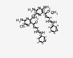 Nc1nc(N)c(C(=O)N=CNNc2cccnc2)nc1Cl.Nc1nc(N)c(C(=O)N=CNNc2cccnc2)nc1Cl.O